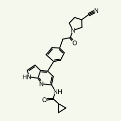 N#CC1CCN(C(=O)Cc2ccc(-c3cc(NC(=O)C4CC4)nc4[nH]ccc34)cc2)C1